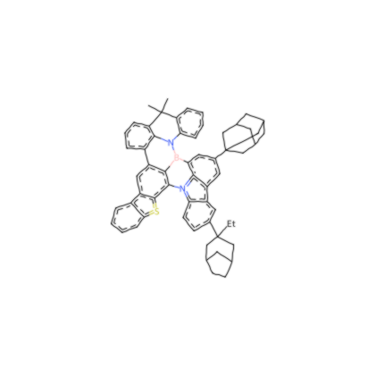 CCC1(c2ccc3c(c2)c2cc(C45CC6CC(CC(C6)C4)C5)cc4c2n3-c2c3c(cc5c2sc2ccccc25)-c2cccc5c2N(B34)c2ccccc2C5(C)C)CC2CCC(C2)C1